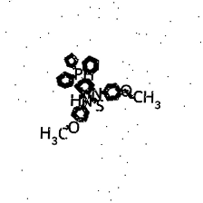 CCOc1ccc(NC(=S)Nc2ccc(OCC)cc2)cc1.c1ccc([PH](c2ccccc2)(c2ccccc2)C2CCCC2)cc1